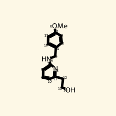 COc1ccc(CNc2cccc(CCO)n2)cc1